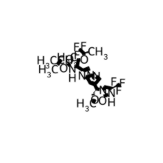 COC[C@H](c1cnn2cc([C@@H](NC(=O)OC(C)(C)C)[C@@H](C)O[C@H](C)C(F)(F)F)nc2c1)N1C[C@@H](C(F)(F)F)NC1=O